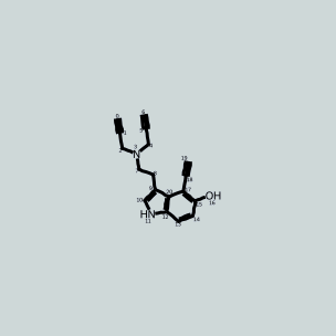 C#CCN(CC#C)CCc1c[nH]c2ccc(O)c(C#C)c12